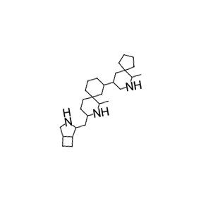 CC1NCC(C2CCCC3(CCC(CC4NCC5CCC54)NC3C)C2)CC12CCCC2